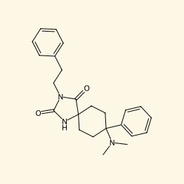 CN(C)C1(c2ccccc2)CCC2(CC1)NC(=O)N(CCc1ccccc1)C2=O